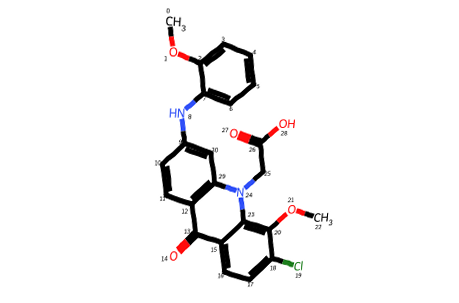 COc1ccccc1Nc1ccc2c(=O)c3ccc(Cl)c(OC)c3n(CC(=O)O)c2c1